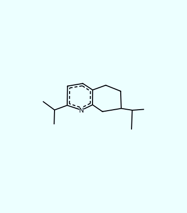 CC(C)c1ccc2c(n1)CC(C(C)C)CC2